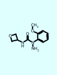 COc1ccccc1N(N)C(=O)NC1COC1